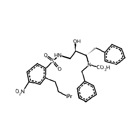 CC(C)CCc1cc([N+](=O)[O-])ccc1S(=O)(=O)NC[C@@H](O)[C@H](Cc1ccccc1)N(Cc1ccccc1)C(=O)O